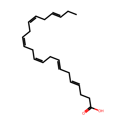 CC/C=C/C/C=C\C/C=C\C/C=C\C/C=C/C/C=C/CCC(=O)O